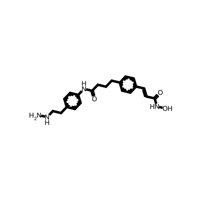 NNCCc1ccc(NC(=O)CCCc2ccc(C=CC(=O)NO)cc2)cc1